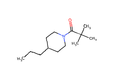 CCCC1CCN(C(=O)C(C)(C)C)CC1